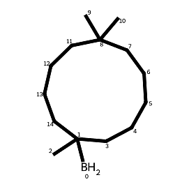 BC1(C)CCCCCC(C)(C)CCCC1